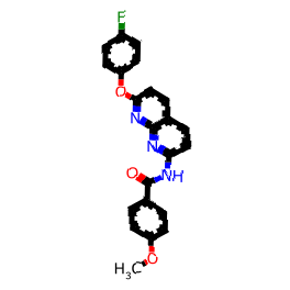 COc1ccc(C(=O)Nc2ccc3ccc(Oc4ccc(F)cc4)nc3n2)cc1